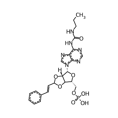 CCCNC(=O)Nc1ncnc2c1ncn2[C@@H]1O[C@H](COP(=O)(O)O)C2OC(/C=C/c3ccccc3)O[C@@H]21